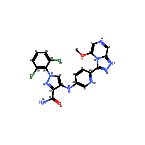 COc1cncc2nnc(-c3ccc(Nc4cn(-c5c(Cl)cccc5Cl)nc4C(N)=O)cn3)n12